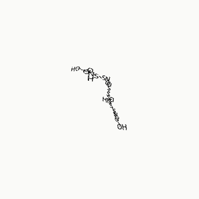 O=C(NCSCCSC/N=C\OOCSCCSCSC(=O)NCSCCSC/N=C/OOCCCO)OCCCO